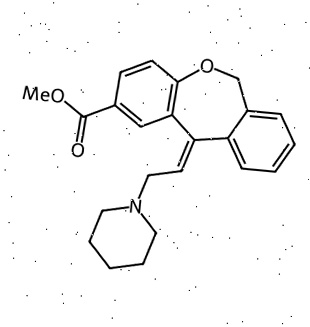 COC(=O)c1ccc2c(c1)/C(=C\CN1CCCCC1)c1ccccc1CO2